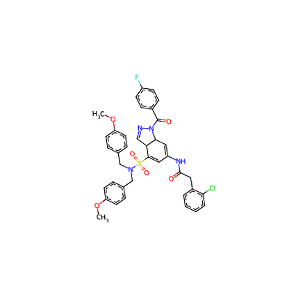 COc1ccc(CN(Cc2ccc(OC)cc2)S(=O)(=O)C2=CC(NC(=O)Cc3ccccc3Cl)=CC3C2C=NN3C(=O)c2ccc(F)cc2)cc1